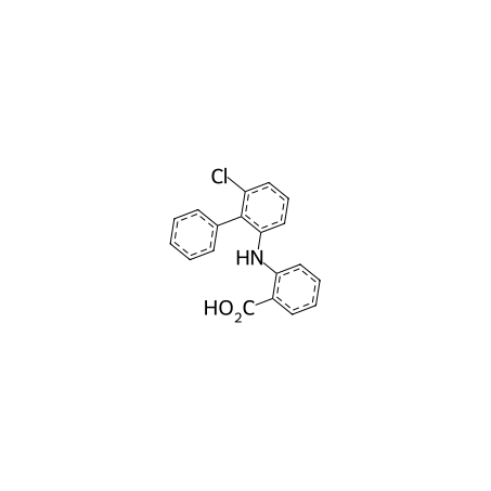 O=C(O)c1ccccc1Nc1cccc(Cl)c1-c1ccccc1